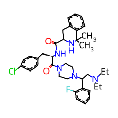 CCN(CC)CC(c1ccccc1F)N1CCN(C(=O)[C@@H](Cc2ccc(Cl)cc2)NC(=O)C2Cc3ccccc3C(C)(C)N2)CC1